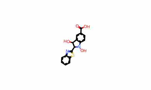 O=C(O)c1ccc2c(c1)C(O)C(c1nc3ccccc3s1)N2O